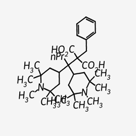 CCCC(C1CC(C)(C)N(C)C(C)(C)C1)(C1CC(C)(C)N(C)C(C)(C)C1)C(Cc1ccccc1)(C(=O)O)C(=O)O